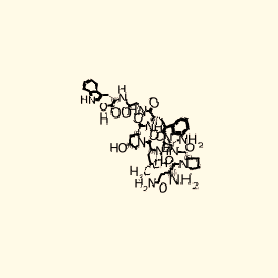 CC(C)C[C@H](NC(=O)[C@H](CN)NC(=O)[C@@H]1CCCN1C(=O)[C@@H](N)CC(N)=O)C(=O)N1C[C@H](O)C[C@H]1C(=O)N[C@@H](Cc1c[nH]c2ccccc12)C(=O)NCC(=O)N[C@@H](Cc1c[nH]c2ccccc12)C(=O)O